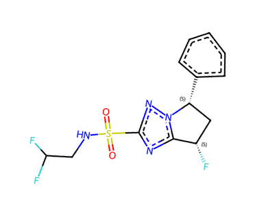 O=S(=O)(NCC(F)F)c1nc2n(n1)[C@H](c1ccccc1)C[C@@H]2F